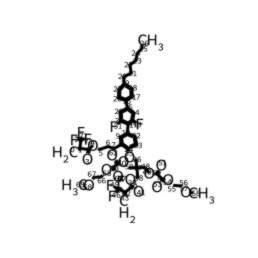 C=C(C(=O)OCCCc1cc(-c2c(F)cc(-c3ccc(CCCCCCC)cc3)cc2F)ccc1OCC(COC(=O)C(=C)C(F)(F)F)(COC(=O)C(=O)OCCOC)COC(=O)C(=O)OCCOC)C(F)(F)F